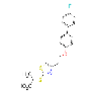 CC(Sc1nc(CCOc2ccc(-c3ccc(F)cc3)cc2)cs1)C(=O)O